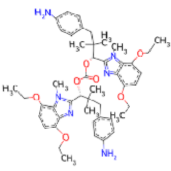 CCOc1ccc(OCC)c2c1nc([C@H](OC(=O)O[C@@H](c1nc3c(OCC)ccc(OCC)c3n1C)C(C)(C)Cc1ccc(N)cc1)C(C)(C)Cc1ccc(N)cc1)n2C